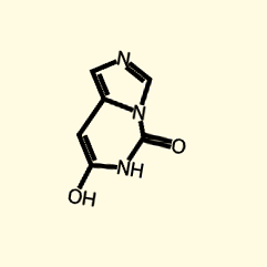 O=c1[nH]c(O)cc2cncn12